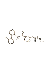 O=C([C@@H]1C[C@H]1c1ccccc1-c1c(F)cccc1F)N1CCOC(CNSN2CCC2)C1